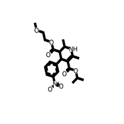 COCCOC(=O)C1C(C)NC(C)=C(C(=O)OC(C)C)C1c1cccc([N+](=O)[O-])c1